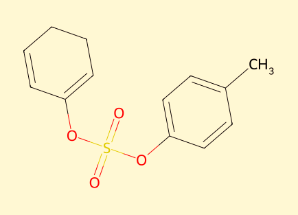 Cc1ccc(OS(=O)(=O)OC2=CCCC=C2)cc1